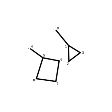 [CH2]C1CC1.[CH2]C1CCC1